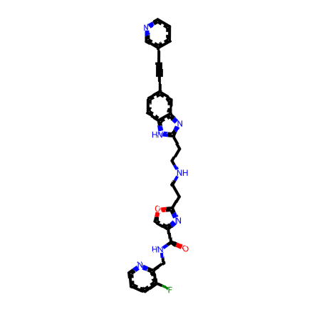 O=C(NCc1ncccc1F)c1coc(CCNCCc2nc3cc(C#Cc4cccnc4)ccc3[nH]2)n1